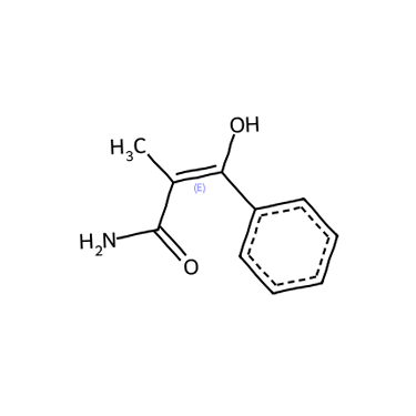 C/C(C(N)=O)=C(\O)c1ccccc1